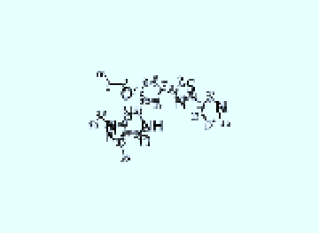 CCCOc1ccc(-c2csc(-c3cccnc3)n2)cc1-c1nc2c(c(C)nn2CC)c(=O)[nH]1